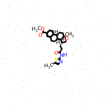 COC(=O)c1ccc2c(c1)CC[C@H]1[C@@H]3[C@H](CCC(=O)Nc4ncc(C)s4)CO[C@@]3(C)CC[C@H]21